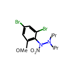 COc1cc(Br)cc(Br)c1N(N(C(C)C)C(C)C)[N+](=O)[O-]